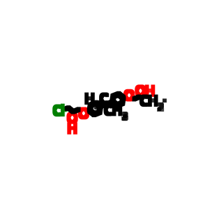 [CH2][C@H](O)COc1ccc(C(C)(C)c2ccc(OC[C@H](O)CCl)cc2)cc1